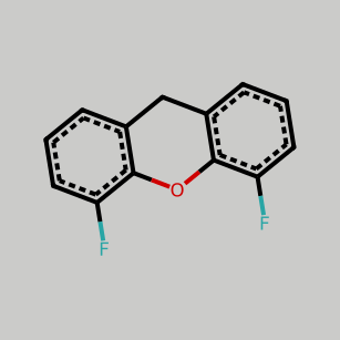 Fc1cccc2c1Oc1c(F)cccc1C2